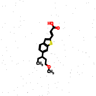 CCC(CCOC)c1ccc2cc(/C=C/C(=O)O)sc2c1